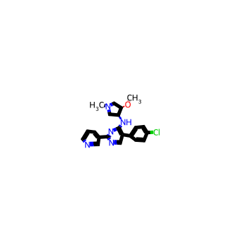 CO[C@H]1CN(C)C[C@@H]1Nc1nc(-c2cccnc2)ncc1-c1ccc(Cl)cc1